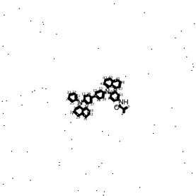 C=C(C)C(=O)Nc1ccc(N(c2ccc(-c3ccc(N(c4ccccc4)c4cccc5ccccc45)cc3)cc2)c2cccc3ccccc23)cc1